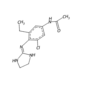 CCc1cc(NC(C)=O)cc(Cl)c1N=C1NCCN1